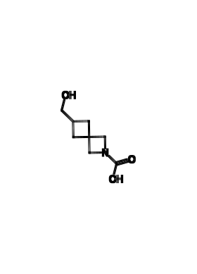 O=C(O)N1CC2(CC(CO)C2)C1